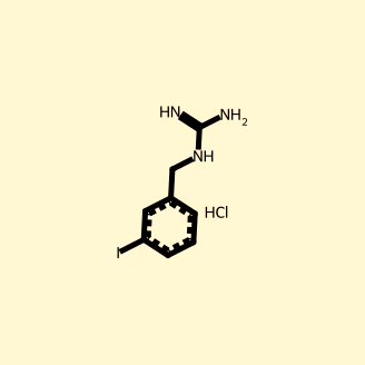 Cl.N=C(N)NCc1cccc(I)c1